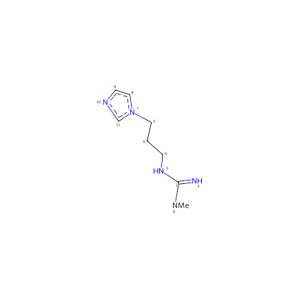 CNC(=N)NCCCn1ccnc1